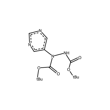 CC(C)(C)OC(=O)NN(C(=O)OC(C)(C)C)c1cncnc1